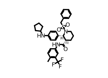 Cc1ccc(NC(=O)[C@H]2CCCN(S(=O)(=O)Cc3ccccc3)[C@H]2c2ccc(NC3CCCC3)cc2)cc1C(F)(F)F